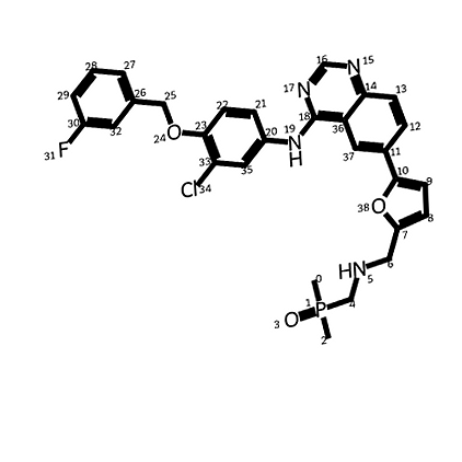 CP(C)(=O)CNCc1ccc(-c2ccc3ncnc(Nc4ccc(OCc5cccc(F)c5)c(Cl)c4)c3c2)o1